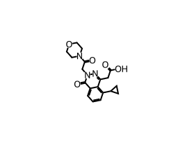 O=C(O)Cc1nn(CC(=O)N2CCOCC2)c(=O)c2cccc(C3CC3)c12